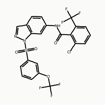 O=C(Nc1ccc2cnn(S(=O)(=O)c3cccc(OC(F)(F)F)c3)c2c1)c1c(Cl)cccc1C(F)(F)F